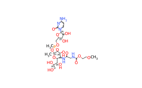 COCCOC(=O)NCC(=O)N[C@H]1C([C@H](O)[C@H](O)CO)O[C@@](C)(OP(C)(=O)OCC2O[C@@H](n3ccc(N)nc3=O)[C@H](O)[C@@H]2O)C[C@H]1O